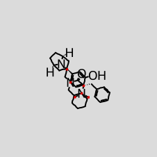 CN(C)[C@@H](Cc1ccccc1)C(=O)N(CCN1[C@@H]2CC[C@H]1C[C@@H](c1cccc(O)c1)C2)CC1CCCCC1